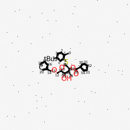 Cc1ccc(C(C)(C)C)cc1S[C@@H]1OC(COCc2ccccc2)[C@@H](O)[C@H](C)C1OC(=O)c1ccccc1